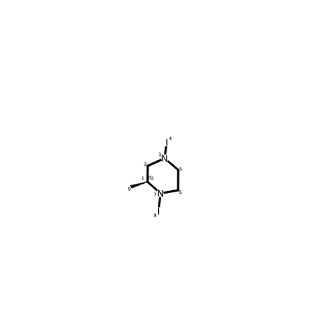 C[C@H]1CN(I)CCN1I